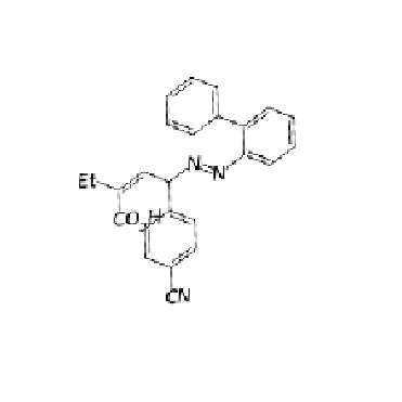 CCC(=CC(N=Nc1ccccc1-c1ccccc1)c1ccc(C#N)cc1)C(=O)O